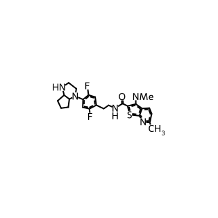 CNc1c(C(=O)NCCc2cc(F)c(N3CCNC4CCCC43)cc2F)sc2nc(C)ccc12